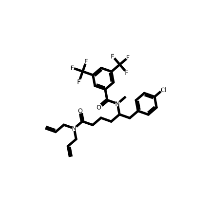 C=CCN(CC=C)C(=O)CCCC(Cc1ccc(Cl)cc1)N(C)C(=O)c1cc(C(F)(F)F)cc(C(F)(F)F)c1